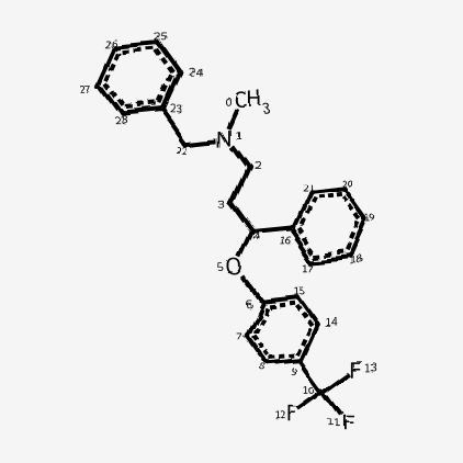 CN(CCC(Oc1ccc(C(F)(F)F)cc1)c1ccccc1)Cc1ccccc1